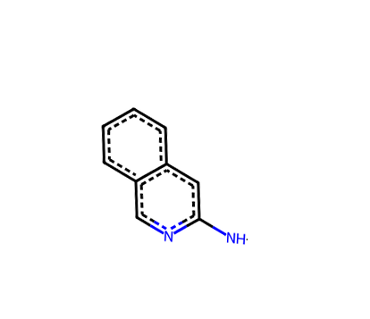 [NH]c1cc2ccccc2cn1